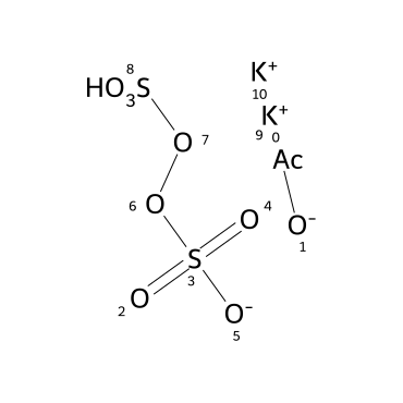 CC(=O)[O-].O=S(=O)([O-])OOS(=O)(=O)O.[K+].[K+]